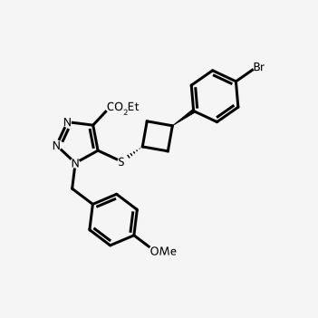 CCOC(=O)c1nnn(Cc2ccc(OC)cc2)c1S[C@H]1C[C@H](c2ccc(Br)cc2)C1